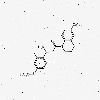 CCOC(=O)Oc1cc(C)c(C(N)CC(=O)N2CCCc3cc(OC)ccc32)c(Cl)c1